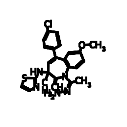 C=C1N(/C(C)=N\N)c2ccc(OC)cc2C(c2ccc(Cl)cc2)=CC1(C)Nc1nccs1